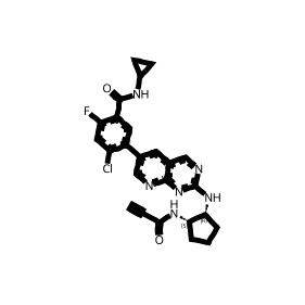 C#CC(=O)N[C@H]1CCC[C@H]1Nc1ncc2cc(-c3cc(C(=O)NC4CC4)c(F)cc3Cl)cnc2n1